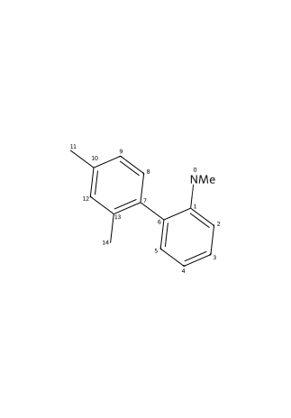 CNc1ccccc1-c1ccc(C)cc1C